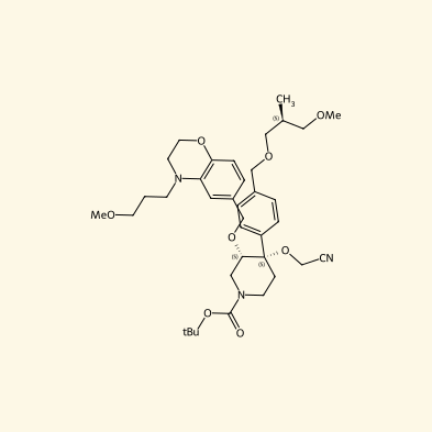 COCCCN1CCOc2ccc(CO[C@H]3CN(C(=O)OC(C)(C)C)CC[C@]3(OCC#N)c3ccc(COC[C@@H](C)COC)cc3)cc21